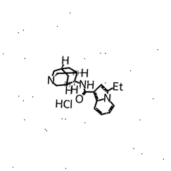 CCc1cc(C(=O)N[C@H]2[C@@H]3C[C@H]4C[C@@H]2C[N@](C3)C4)c2ccccn12.Cl